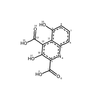 O=C(O)c1nc2cccc(O)c2c(C(=O)O)c1O